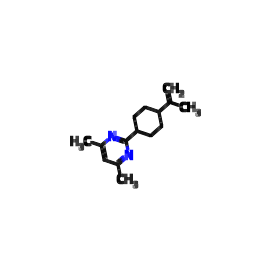 C=C(C)C1CCC(c2nc(C)cc(C)n2)CC1